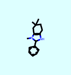 CN1C2=C(CCC(C)(C)C2)NC1c1ccccc1